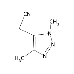 Cc1nnn(C)c1CC#N